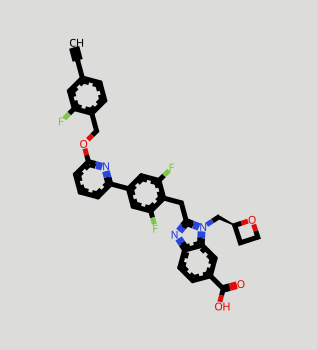 C#Cc1ccc(COc2cccc(-c3cc(F)c(Cc4nc5ccc(C(=O)O)cc5n4C[C@@H]4CCO4)c(F)c3)n2)c(F)c1